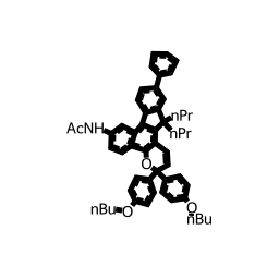 CCCCOc1ccc(C2(c3ccc(OCCCC)cc3)C=Cc3c4c(c5cc(NC(C)=O)ccc5c3O2)-c2ccc(-c3ccccc3)cc2C4(CCC)CCC)cc1